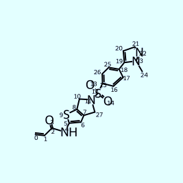 C=CC(=O)Nc1cc2c(s1)CN(S(=O)(=O)c1ccc(-c3ccnn3C)cc1)C2